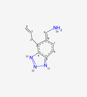 C=CCc1c2c(ccc1=CN)=NN=N2